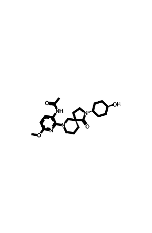 COc1ccc(NC(C)=O)c(N2CCC[C@]3(CCN([C@H]4CC[C@H](O)CC4)C3=O)C2)n1